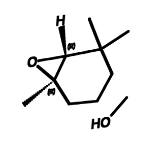 CC1(C)CCC[C@@]2(C)O[C@H]12.CO